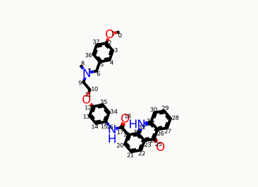 COc1ccc(CN(C)CCOc2ccc(NC(=O)c3cccc4c(=O)c5ccccc5[nH]c34)cc2)cc1